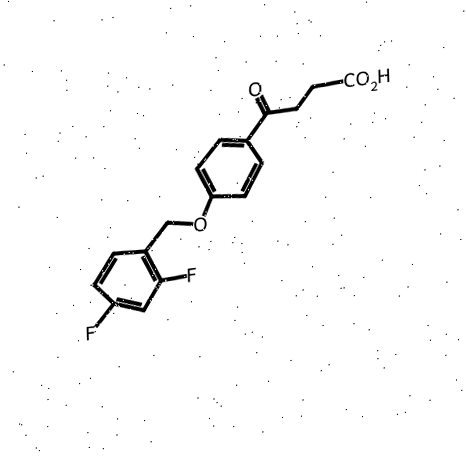 O=C(O)CCC(=O)c1ccc(OCc2ccc(F)cc2F)cc1